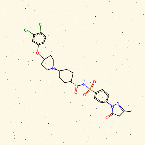 CC1=NN(c2ccc(S(=O)(=O)NC(=O)[C@H]3CC[C@H](N4CCC(Oc5ccc(Cl)c(Cl)c5)CC4)CC3)cc2)C(=O)C1